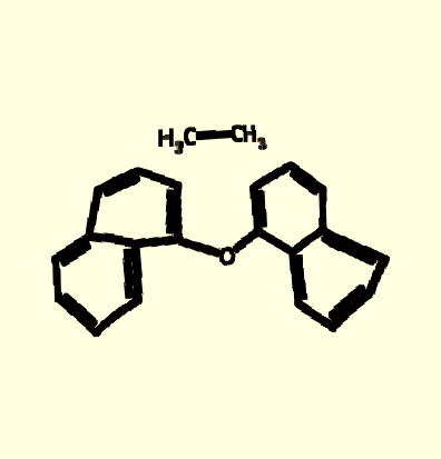 CC.c1ccc2c(Oc3cccc4ccccc34)cccc2c1